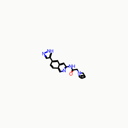 O=C(CN1CC2C3C2C31)Nc1cc2cc(-c3cn[nH]c3)ccc2cn1